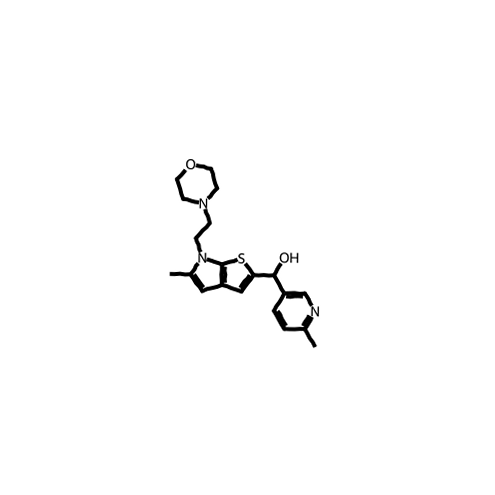 Cc1ccc(C(O)c2cc3cc(C)n(CCN4CCOCC4)c3s2)cn1